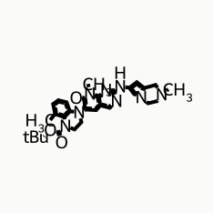 Cc1cccc2c1N(C(=O)OC(C)(C)C)CCN2c1cc2cnc(Nc3cc4n(c3)CCN(C)C4)nc2n(C)c1=O